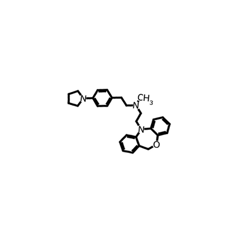 CN(CCc1ccc(N2CCCC2)cc1)CCN1c2ccccc2COc2ccccc21